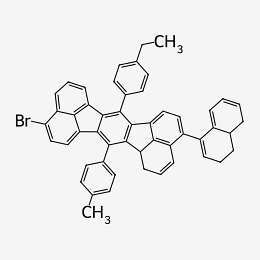 CCc1ccc(-c2c3c(c(-c4ccc(C)cc4)c4c2-c2ccc(C5=CCCC6CC=CC=C56)c5c2C4CC=C5)-c2ccc(Br)c4cccc-3c24)cc1